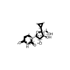 O=c1ccn([C@@H]2O[C@@](CO)(C3CC3)[C@@H](O)[C@@H]2Cl)c(=O)[nH]1